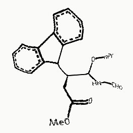 CCCOC(NC=O)[C@@H](CC(=O)OC)C1c2ccccc2-c2ccccc21